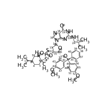 C=C(C)[C@@H]1CC[C@]2(C)SP(=S)(O[C@H]3C[C@H](n4cnc5c(=O)[nH]c(NCC(C)C)nc54)O[C@@H]3COC(c3ccccc3)(c3ccc(OC)cc3)c3ccc(OC)cc3)O[C@H]2C1